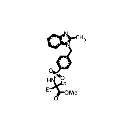 CCC(CC)(NS(=O)(=O)c1ccc(Cn2c(C)nc3ccccc32)cc1)C(=O)OC